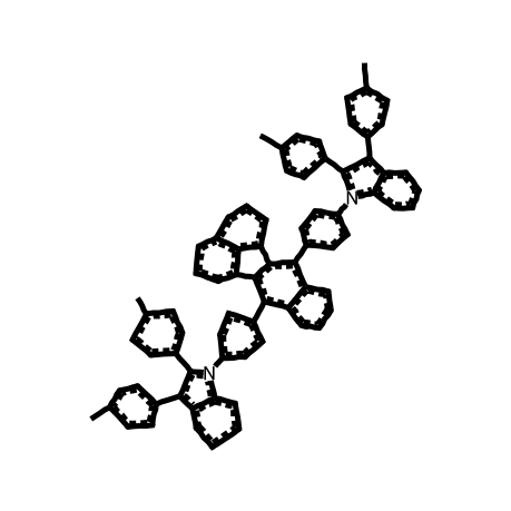 Cc1ccc(-c2c(-c3ccc(C)cc3)n(-c3ccc(-c4c5c(c(-c6ccc(-n7c(-c8ccc(C)cc8)c(-c8ccc(C)cc8)c8ccccc87)cc6)c6ccccc46)-c4cccc6cccc-5c46)cc3)c3ccccc23)cc1